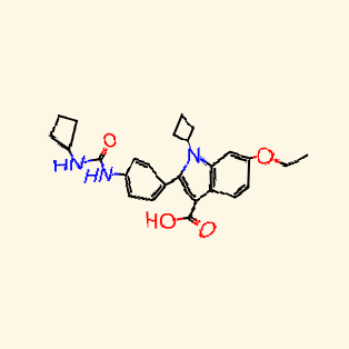 CCOc1ccc2c(C(=O)O)c(-c3ccc(NC(=O)NC4CCC4)cc3)n(C3CCC3)c2c1